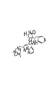 C[C@@H]1CN(Cc2ccn(-c3ncccc3C(=O)NC(Cc3ccccc3)C(=O)C(N)=O)n2)C[C@@H](C)O1